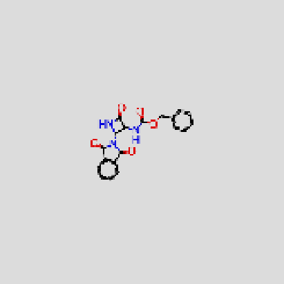 O=C(N[C@@H]1C(=O)N[C@H]1N1C(=O)c2ccccc2C1=O)OCc1ccccc1